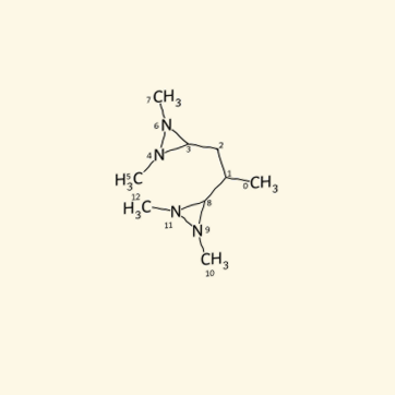 CC(CC1N(C)N1C)C1N(C)N1C